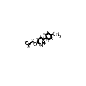 Cc1ccc(-c2ccc(OCC3CO3)nn2)cc1